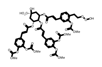 COC(=O)Oc1cc(/C=C/C(=O)O[C@@H]2C[C@@](O)(C(=O)O)C[C@@H](OC(=O)/C=C/c3ccc(OC(=O)OC)c(OC(=O)OC)c3)[C@@H]2OC(=O)/C=C/c2ccc(OC(=O)OC)c(OC(=O)OC)c2)ccc1CCOOO